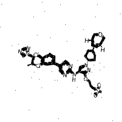 C[C@@H](Cn1cncn1)Oc1cc(-c2cnc(Nc3cn([C@H]4CC[C@H](N5[C@@H]6CC[C@@H]5COC6)CC4)nc3OCCS(C)(=O)=O)nc2)ccc1Cl